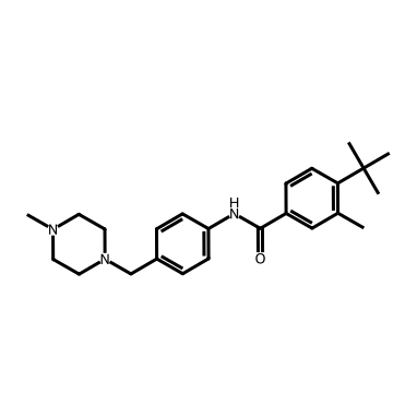 Cc1cc(C(=O)Nc2ccc(CN3CCN(C)CC3)cc2)ccc1C(C)(C)C